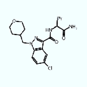 CC(C)C(NC(=O)c1nn(CC2CCOCC2)c2ccc(Cl)cc12)C(N)=O